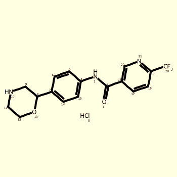 Cl.O=C(Nc1ccc(C2CNCCO2)cc1)c1ccc(C(F)(F)F)nc1